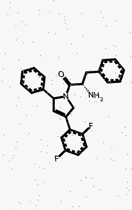 N[C@@H](Cc1ccccc1)C(=O)N1CC(c2cc(F)ccc2F)=CC1c1ccccc1